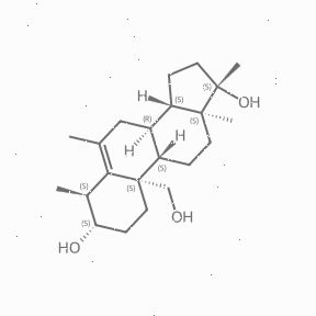 CC1=C2[C@H](C)[C@@H](O)CC[C@]2(CO)[C@H]2CC[C@@]3(C)[C@@H](CC[C@]3(C)O)[C@@H]2C1